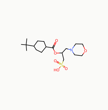 CC(C)(C)C1CCC(C(=O)OC(CN2CCOCC2)CS(=O)(=O)O)CC1